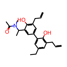 C=CCc1cc(CC)cc(-c2cc(CC=C)c(O)c(C(C)N(C)C(C)=O)c2)c1O